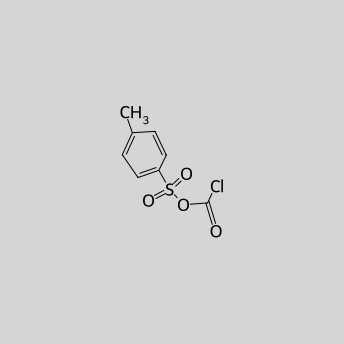 Cc1ccc(S(=O)(=O)OC(=O)Cl)cc1